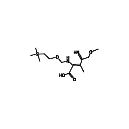 COCC(=N)/C(C)=C(\NCOCC[Si](C)(C)C)C(=O)O